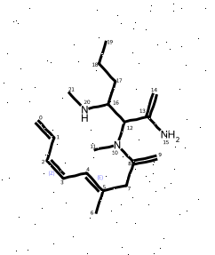 C=C/C=C\C=C(/C)CC(=C)N(C)C(C(=C)N)C(CCC)NC